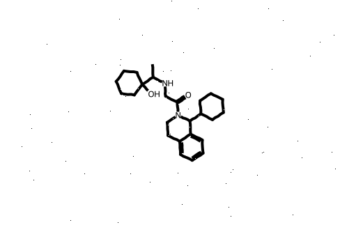 CC(NCC(=O)N1CCc2ccccc2C1C1CCCCC1)C1(O)CCCCC1